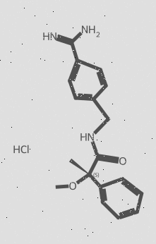 CO[C@](C)(C(=O)NCc1ccc(C(=N)N)cc1)c1ccccc1.Cl